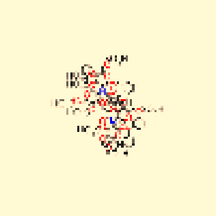 O=C(c1ccc(C(=O)N([C@@H]2[C@@H](OCc3ccccc3)O[C@H](COS(=O)(=O)O)[C@@H](OS(=O)(=O)O)[C@@H]2OS(=O)(=O)O)[C@@H]2[C@@H](OCc3ccccc3)O[C@H](COS(=O)(=O)O)[C@@H](OS(=O)(=O)O)[C@@H]2OS(=O)(=O)O)c2ccccc12)N([C@@H]1[C@@H](OCc2ccccc2)O[C@H](COS(=O)(=O)O)[C@@H](OS(=O)(=O)O)[C@@H]1OS(=O)(=O)O)[C@@H]1[C@@H](OCc2ccccc2)O[C@H](COS(=O)(=O)O)[C@@H](OS(=O)(=O)O)[C@@H]1OS(=O)(=O)O